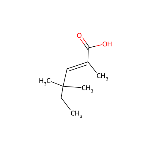 CCC(C)(C)/C=C(\C)C(=O)O